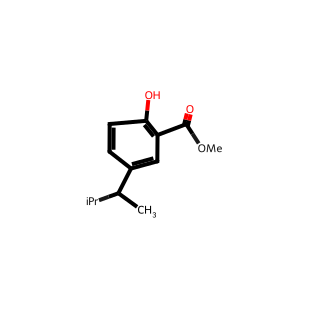 COC(=O)c1cc(C(C)C(C)C)ccc1O